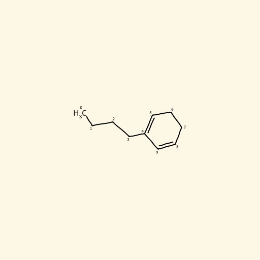 CCCCC1=[C]CCC=C1